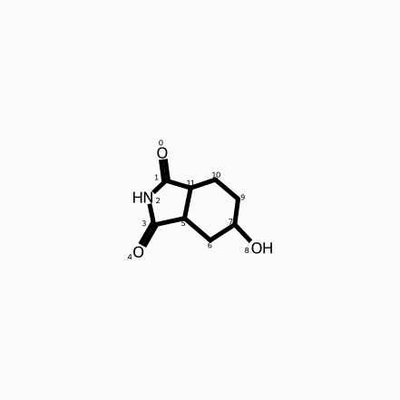 O=C1NC(=O)C2CC(O)CCC12